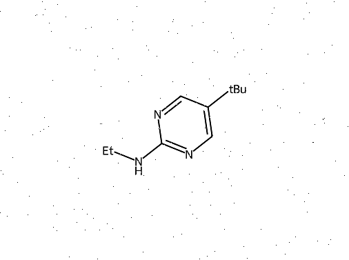 CCNc1ncc(C(C)(C)C)cn1